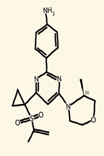 C=C(C)S(=O)(=O)C1(c2cc(N3CCOC[C@@H]3C)nc(-c3ccc(N)cc3)n2)CC1